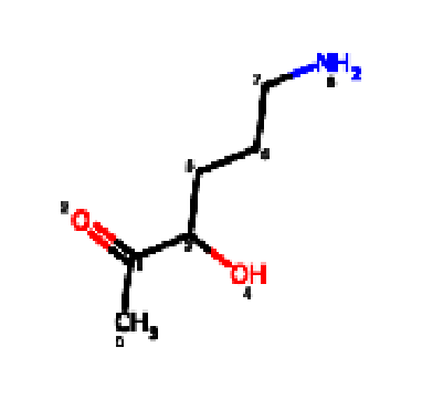 CC(=O)C(O)CCCN